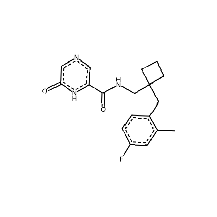 Cc1cc(F)ccc1CC1(CNC(=O)c2cncc(=O)[nH]2)CCC1